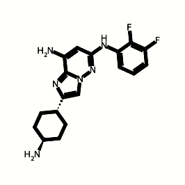 Nc1cc(Nc2cccc(F)c2F)nn2cc([C@H]3CC[C@H](N)CC3)nc12